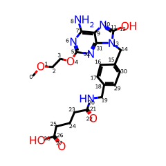 COCCOc1nc(N)c2nc(O)n(Cc3ccc(CNC(=O)CCCC(=O)O)cc3)c2n1